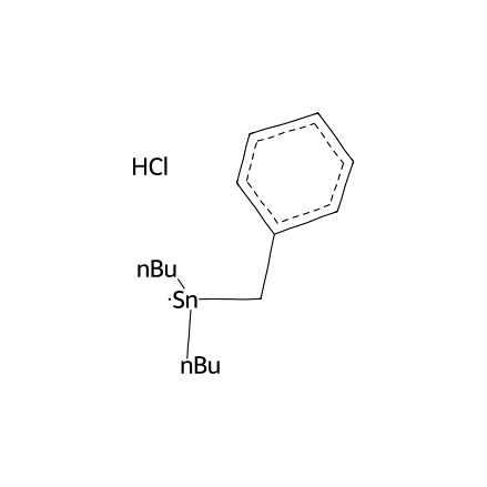 CCC[CH2][Sn]([CH2]CCC)[CH2]c1ccccc1.Cl